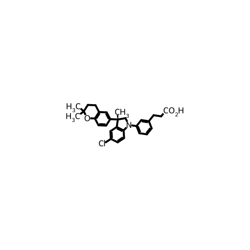 CC1(C)CCc2cc([C@]3(C)CN(c4cccc(CCC(=O)O)c4)c4ccc(Cl)cc43)ccc2O1